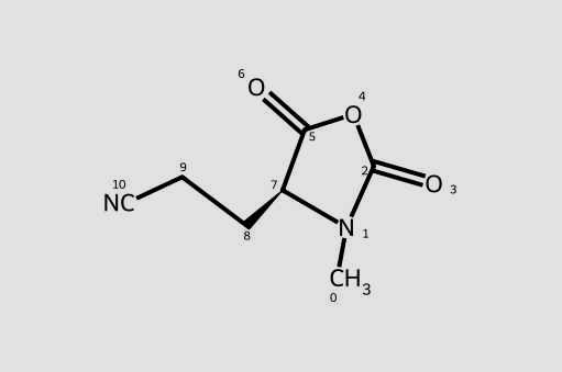 CN1C(=O)OC(=O)[C@@H]1CCC#N